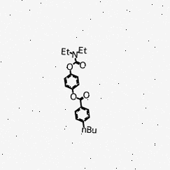 CCCCc1ccc(C(=O)Oc2ccc(OC(=O)N(CC)CC)cc2)cc1